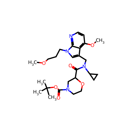 COCCCn1cc(CN(C(=O)C2CN(C(=O)OC(C)(C)C)CCO2)C2CC2)c2c(OC)ccnc21